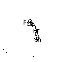 CC(C)OC(=O)N1CCC(CCCC(F)(F)c2ccc3c(c2)CCN(S(C)(=O)=O)C3)CC1